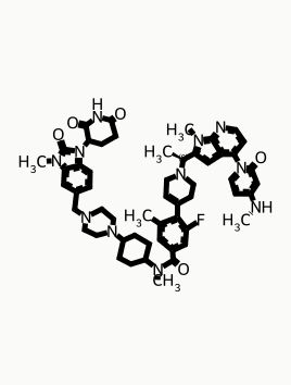 CNc1ccn(-c2ccnc3c2cc([C@H](C)N2CC=C(c4c(C)cc(C(=O)N(C)C5CCC(N6CCN(Cc7ccc8c(c7)n(C)c(=O)n8C7CCC(=O)NC7=O)CC6)CC5)cc4F)CC2)n3C)c(=O)c1